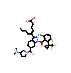 CCCC/C(=C\CCC(=O)O)c1nn(C(=O)c2c(Cl)cccc2C2(C(F)(F)F)CC2)c2c1CCC(C(=O)N1CC[C@@H](N(C)C)C1)C2